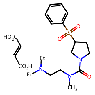 CCN(CC)CCN(C)C(=O)N1CCC(S(=O)(=O)c2ccccc2)C1.O=C(O)C=CC(=O)O